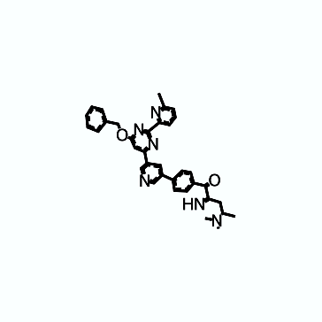 Cc1cccc(-c2nc(OCc3ccccc3)cc(-c3cncc(-c4ccc(C(=O)C(=N)CC(C)N(C)C)cc4)c3)n2)n1